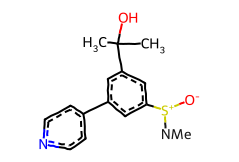 CN[S+]([O-])c1cc(-c2ccncc2)cc(C(C)(C)O)c1